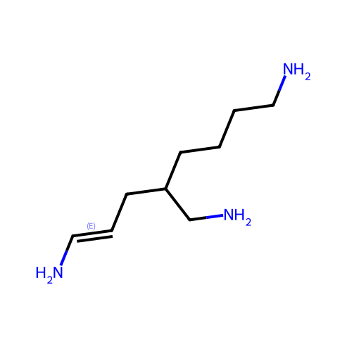 N/C=C/CC(CN)CCCCN